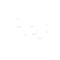 Cc1cc(B(O)c2ccccc2)ccc1-c1ccccc1